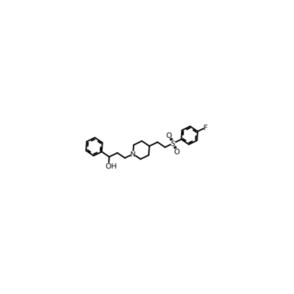 O=S(=O)(CCC1CCN(CCC(O)c2ccccc2)CC1)c1ccc(F)cc1